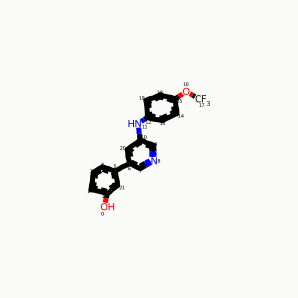 Oc1cccc(-c2cncc(Nc3ccc(OC(F)(F)F)cc3)c2)c1